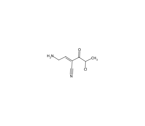 CC(Cl)C(=O)C(C#N)=CCN